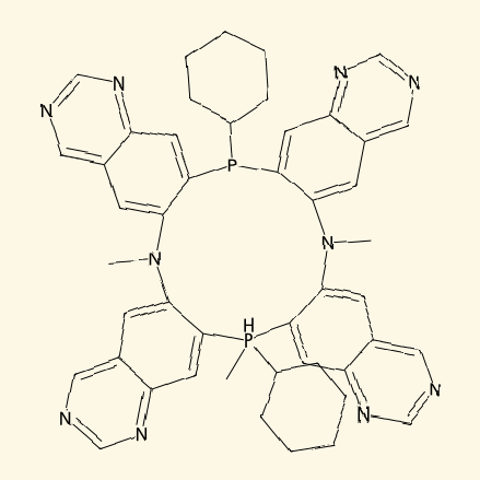 CN1c2cc3cncnc3cc2P(C2CCCCC2)c2cc3ncncc3cc2N(C)c2cc3cncnc3cc2[PH](C)(C2CCCCC2)c2cc3ncncc3cc21